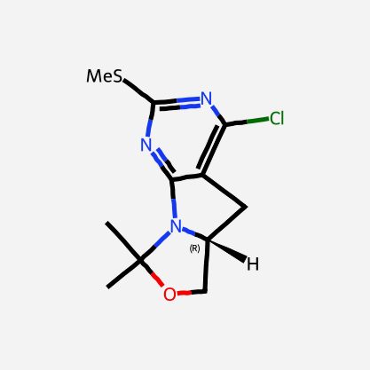 CSc1nc(Cl)c2c(n1)N1[C@@H](COC1(C)C)C2